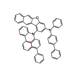 c1ccc(-c2ccc(N(c3ccccc3)c3cc(N(c4ccc(-c5ccccc5)cc4)c4ccccc4-c4ccccc4)c4c(c3)oc3cc5ccccc5cc34)cc2)cc1